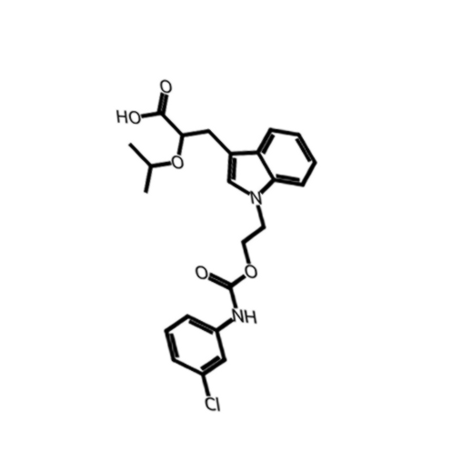 CC(C)OC(Cc1cn(CCOC(=O)Nc2cccc(Cl)c2)c2ccccc12)C(=O)O